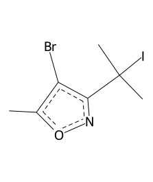 Cc1onc(C(C)(C)I)c1Br